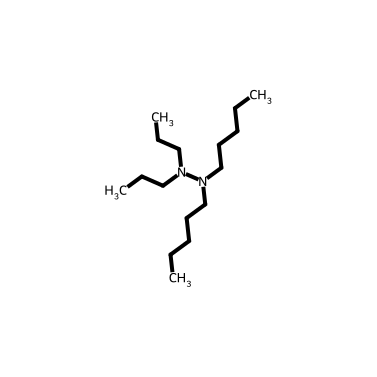 CCCCCN(CCCCC)N(CCC)CCC